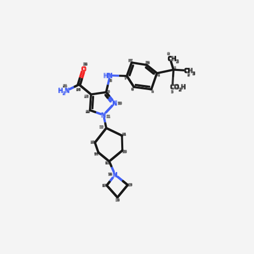 CC(C)(C(=O)O)c1ccc(Nc2nn(C3CCC(N4CCC4)CC3)cc2C(N)=O)cc1